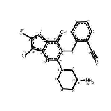 N#Cc1ccccc1Cn1c(N2CCC[C@H](N)C2)nc2c(Cl)c(Cl)sc2c1=O